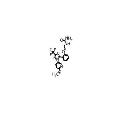 COc1ccc(-n2nc(C(F)(F)F)nc2-c2ccccc2OCCNC(N)=O)cn1